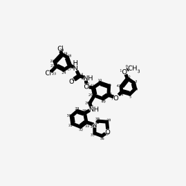 COc1cccc(Oc2ccc(ONC(=O)Nc3cc(Cl)cc(Cl)c3)c(CNc3ccccc3N3CCOCC3)c2)c1